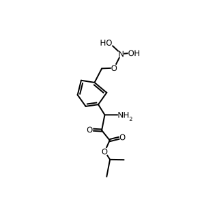 CC(C)OC(=O)C(=O)C(N)c1cccc(CON(O)O)c1